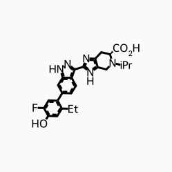 CCc1cc(O)c(F)cc1-c1ccc2c(-c3nc4c([nH]3)CN(C(C)C)[C@H](C(=O)O)C4)n[nH]c2c1